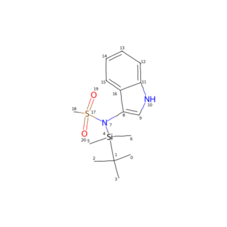 CC(C)(C)[Si](C)(C)N(c1c[nH]c2ccccc12)S(C)(=O)=O